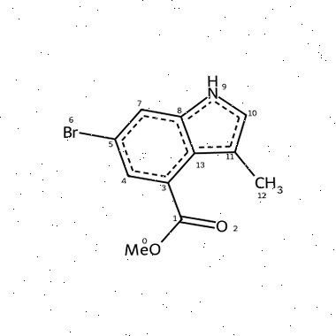 COC(=O)c1cc(Br)cc2[nH]cc(C)c12